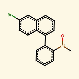 C[S+]([O-])c1ccccc1-c1cccc2cc(Br)ccc12